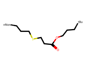 CCCCCCCCCCCCSCCC(=O)OCCCC(C)(C)C